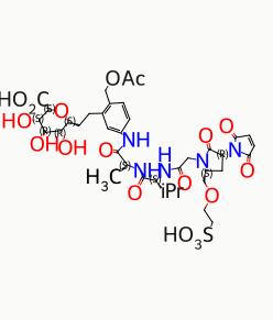 CC(=O)OCc1ccc(NC(=O)[C@H](C)NC(=O)[C@@H](NC(=O)CN2C(=O)[C@H](N3C(=O)C=CC3=O)C[C@H]2COCCS(=O)(=O)O)C(C)C)cc1CC[C@@H]1O[C@H](C(=O)O)[C@@H](O)[C@H](O)[C@H]1O